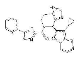 O=C(c1nnc(-c2ccccn2)o1)N1CCc2[nH]cnc2[C@H]1c1oc2ccccc2c1C1CC1